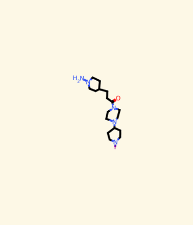 NN1CCC(CCC(=O)N2CCN(C3CCN(I)CC3)CC2)CC1